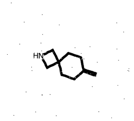 C=C1CCC2(CC1)CNC2